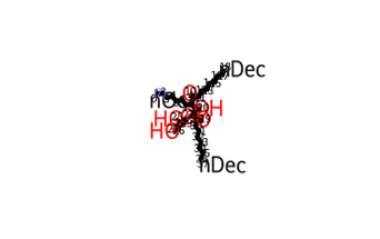 CCCCCCCC/C=C\CCCCCC(C(=O)CCCCCCCCCCCCCCCCC)C(O)C(OCC(O)CO)C(=O)CCCCCCCCCCCCCCCCC